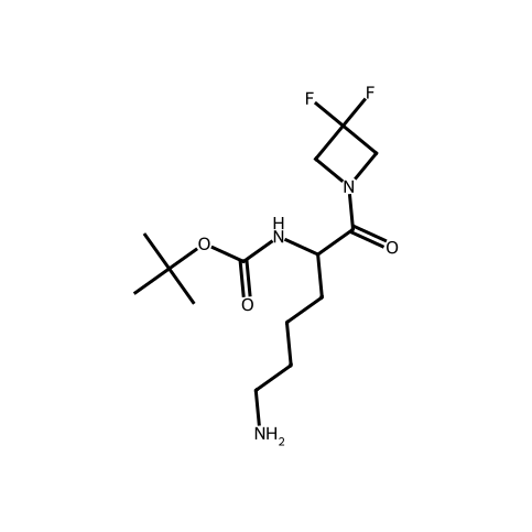 CC(C)(C)OC(=O)NC(CCCCN)C(=O)N1CC(F)(F)C1